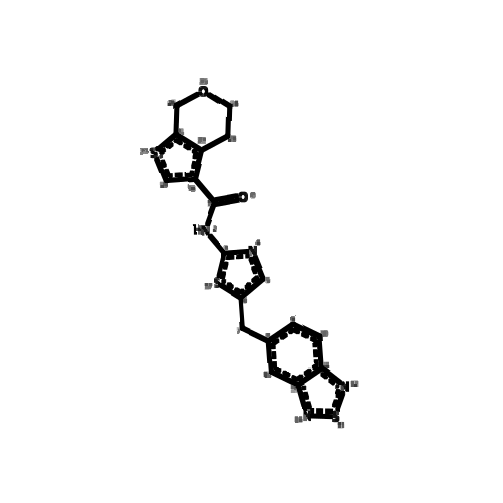 O=C(Nc1ncc(Cc2ccc3nsnc3c2)s1)c1csc2c1CCOC2